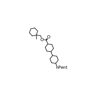 CCCCCC1CCC(C2CCC(C(=O)OCC3(C)CCCCC3)CC2)CC1